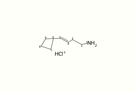 Cl.NCCC=CC1CCC1